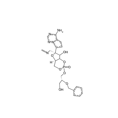 C=NC[C@@]1(c2ccc3c(N)ncnn23)O[C@@H]2COP(=O)(OC[C@@H](CO)OCc3ccccc3)OC2C1O